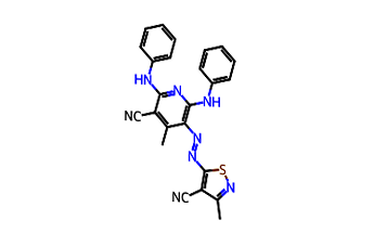 Cc1nsc(N=Nc2c(Nc3ccccc3)nc(Nc3ccccc3)c(C#N)c2C)c1C#N